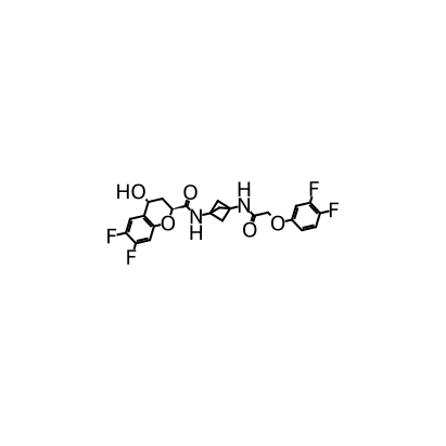 O=C(COc1ccc(F)c(F)c1)NC12CC(NC(=O)[C@@H]3C[C@H](O)c4cc(F)c(F)cc4O3)(C1)C2